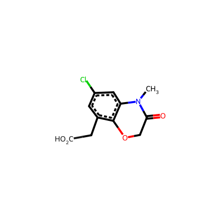 CN1C(=O)COc2c(CC(=O)O)cc(Cl)cc21